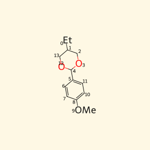 CCC1COC(c2ccc(OC)cc2)OC1